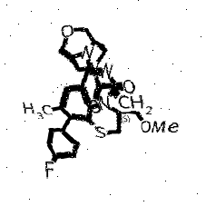 C=CC(=O)N1CC2COCC(C1)N2c1nc(=O)n2c3c(c(-c4ccc(F)cc4)c(C)cc13)SC[C@@H]2COC